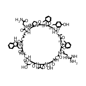 CC(C)C1NC(=O)[C@H](CC(=O)O)NC(=O)CNC(=O)[C@@H](Cc2c[nH]c3ccccc23)NC(=O)CSC[C@@H](C(=O)NCC(N)=O)NC(=O)[C@@H]2CCCN2C(=O)[C@H](Cc2ccccc2)N(C)C(=O)[C@H](Cc2ccc(O)cc2)NC(=O)CN(C)C(=O)[C@H](Cc2ccccc2)N(C)C(=O)[C@H](CCCNC(=N)N)NC(=O)CNC(=O)[C@H](CO)N(C)C1=O